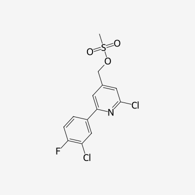 CS(=O)(=O)OCc1cc(Cl)nc(-c2ccc(F)c(Cl)c2)c1